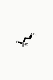 C=CCNF.Cl